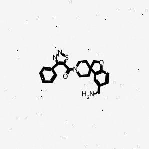 NCc1ccc2c(c1)C1(CCN(C(=O)c3snnc3-c3ccccc3)CC1)CO2